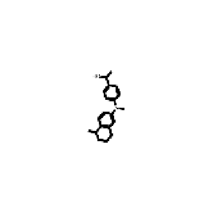 CC(O)c1ccc(N(C)c2ccc3c(c2)CCCC3C)cc1